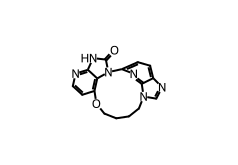 O=c1[nH]c2nccc3c2n1-c1ccc2ncn(c2n1)CCCCO3